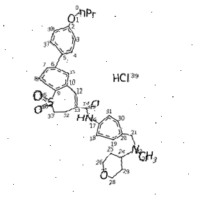 CCCOc1ccc(-c2ccc3c(c2)C=C(C(=O)Nc2ccc(CN(C)C4CCOCC4)cc2)CCS3(=O)=O)cc1.Cl